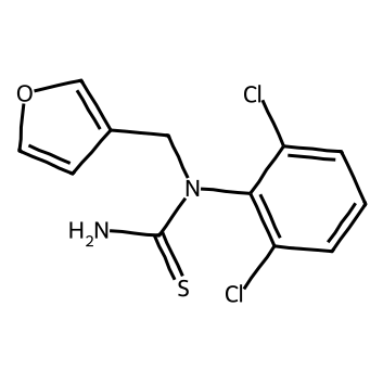 NC(=S)N(Cc1ccoc1)c1c(Cl)cccc1Cl